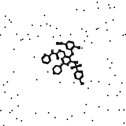 COc1ccc(Cl)c(Oc2c(COC(=O)Nc3ccccn3)nc(N3CCOCC3)nc2NS(=O)(=O)c2ccc(C(C)C)cn2)c1